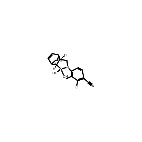 Cc1c(N2C[C@H]3C4C=CC(CC4)[C@H]3S2(O)O)ccc(C#N)c1Cl